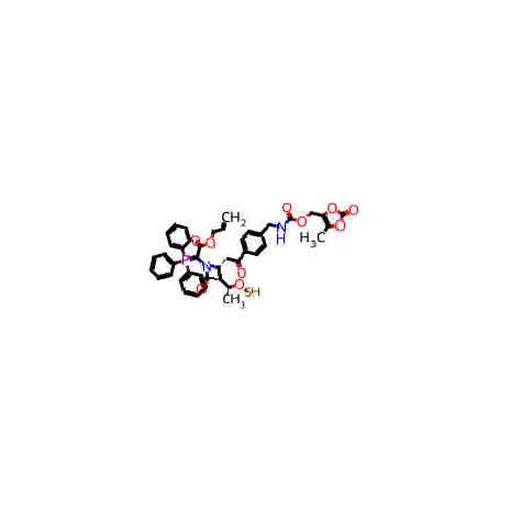 C=CCOC(=O)C(N1C(=O)[C@H]([C@@H](C)OS)[C@H]1CC(=O)c1ccc(CNC(=O)OCc2oc(=O)oc2C)cc1)=P(c1ccccc1)(c1ccccc1)c1ccccc1